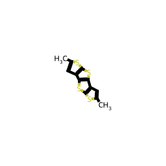 Cc1cc2c(s1)sc1c3cc(C)sc3sc21